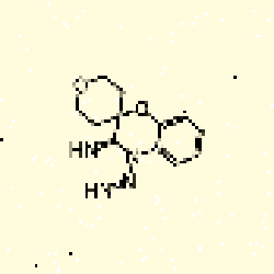 N=NN1C(=N)C2(CCOCC2)Oc2ccccc21